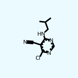 CC(C)CNc1ncnc(Cl)c1C#N